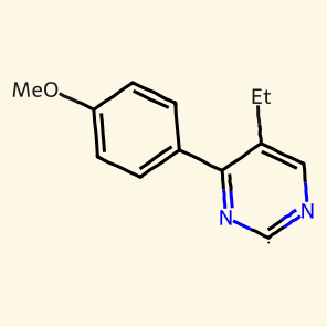 CCc1cn[c]nc1-c1ccc(OC)cc1